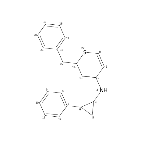 C1=CC(NC2CC2c2ccccc2)CC(Cc2ccccc2)S1